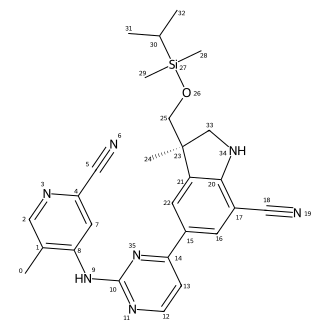 Cc1cnc(C#N)cc1Nc1nccc(-c2cc(C#N)c3c(c2)[C@@](C)(CO[Si](C)(C)C(C)C)CN3)n1